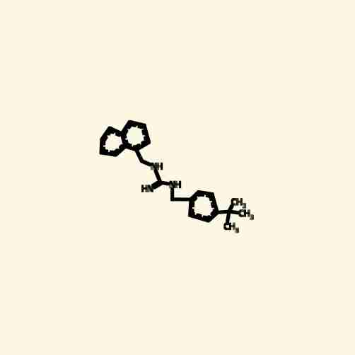 CC(C)(C)c1ccc(CNC(=N)NCc2cccc3ccccc23)cc1